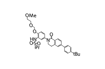 COCCOCOc1ccc(N2CCc3cc(-c4ccc(C(C)(C)C)cc4)ccc3C2=O)cc1NS(=O)(=O)C(C)C